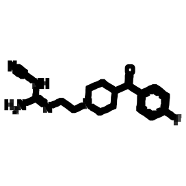 N#CNC(N)=NCCN1CCC(C(=O)c2ccc(F)cc2)CC1